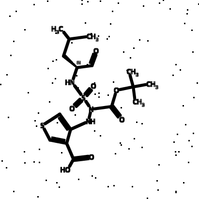 CC(C)C[C@@H](C=O)NS(=O)(=O)N(Nc1cscc1C(=O)O)C(=O)OC(C)(C)C